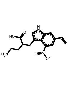 C=Cc1cc([N+](=O)[O-])c2c(CC(CCN)C(=O)O)c[nH]c2c1